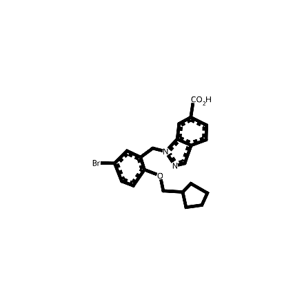 O=C(O)c1ccc2cnn(Cc3cc(Br)ccc3OCC3CCCC3)c2c1